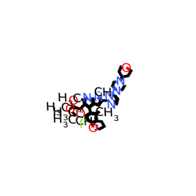 COC(=O)[C@@H](OC(C)(C)C)c1c(C)nc2c(cc(-c3nccc(N4CCN(C5CCOCC5)CC4)n3)n2C)c1-c1cc(F)c2c(c1C)CCCO2